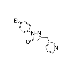 CCc1ccc(N2N=C(Cc3cccnc3)CC2=O)cc1